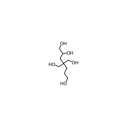 OCCCC(CO)(CO)CC(O)CO